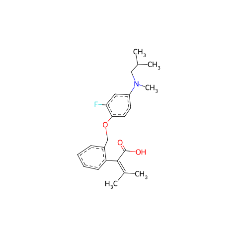 CC(C)=C(C(=O)O)c1ccccc1COc1ccc(N(C)CC(C)C)cc1F